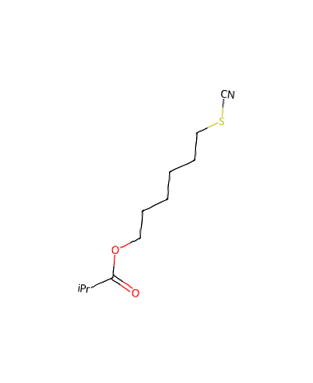 CC(C)C(=O)OCCCCCCSC#N